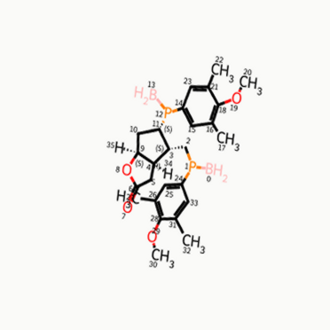 BP(C[C@@H]1[C@H]2CC(=O)O[C@H]2C[C@@H]1P(B)c1cc(C)c(OC)c(C)c1)c1cc(C)c(OC)c(C)c1